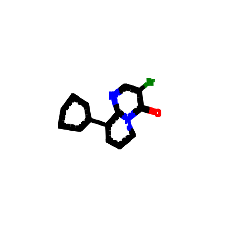 O=c1c(Br)cnc2c(-c3ccccc3)cccn12